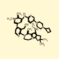 C=C1C(Nc2ccc(N3CCN(C4CCC4)CC3)cn2)=CC(c2ccnc(N3CCn4c5c(c(NC)c4C3=C)CC(C)(C)C5)c2CO)=CN1C